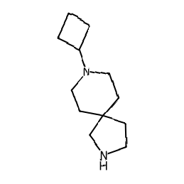 C1CC(N2CCC3(CCNC3)CC2)C1